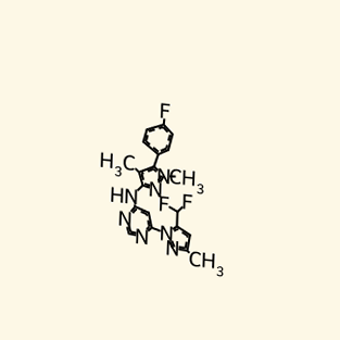 Cc1cc(C(F)F)n(-c2cc(Nc3nn(C)c(-c4ccc(F)cc4)c3C)ncn2)n1